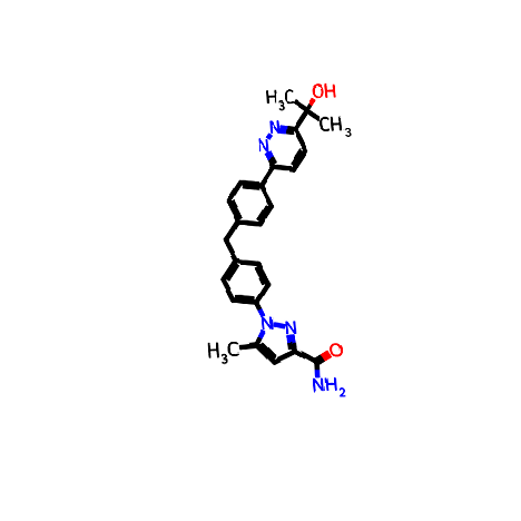 Cc1cc(C(N)=O)nn1-c1ccc(Cc2ccc(-c3ccc(C(C)(C)O)nn3)cc2)cc1